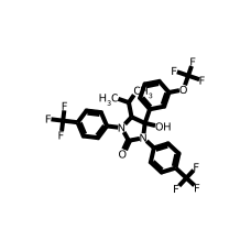 CC(C)C1N(c2ccc(C(F)(F)F)cc2)C(=O)N(c2ccc(C(F)(F)F)cc2)C1(O)c1cccc(OC(F)(F)F)c1